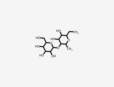 CCC1OC(C)C(OC2OC(CO)C(O)C(O)C2O)C(O)C1O